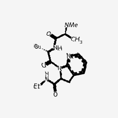 CCNC(=O)C1Cc2cccnc2N1C(=O)C(NC(=O)[C@H](C)NC)[C@@H](C)CC